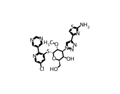 CO[C@@H]1[C@@H](n2cc(-c3csc(N)n3)nn2)[C@@H](O)[C@@H](CO)O[C@@H]1Sc1cc(Cl)cnc1-c1cncnc1